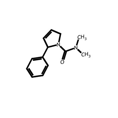 CN(C)C(=O)N1CC=CC1c1ccccc1